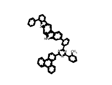 Cc1ccccc1-c1nc(-c2cccc(-c3ccc4c(c3)[nH]c3cc5sc6c(-c7ccccc7)cccc6c5cc34)c2)nc(-c2ccc3c4ccccc4c4ccccc4c3c2)n1